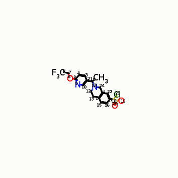 C[C@H](c1ccc(OCC(F)(F)F)nc1)N1CCc2ccc(S(=O)(=O)Cl)cc2C1